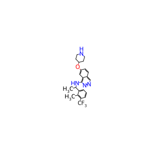 Cc1c(C(C)Nc2nncc3ccc(OC4CCNCC4)cc23)cccc1C(F)(F)F